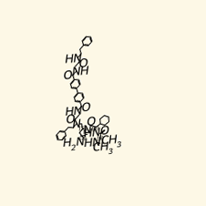 CN[C@@H](C)C(=O)N[C@H](C(=O)N1C[C@@H](N)C[C@H]1CN(CCc1ccccc1)C(=O)CNC(=O)c1ccc(-c2ccc(C(=O)NCC(=O)NCCc3ccccc3)cc2)cc1)C1CCCCC1